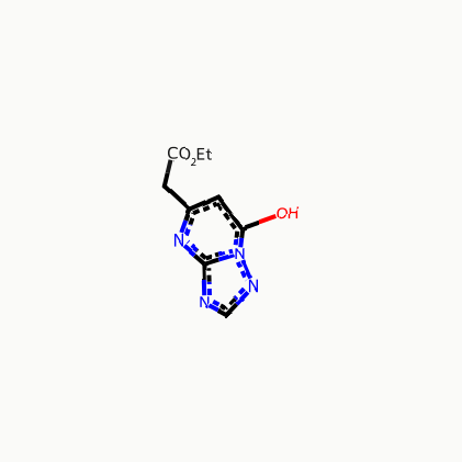 CCOC(=O)Cc1cc(O)n2ncnc2n1